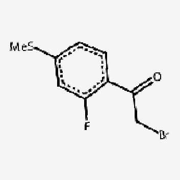 CSc1ccc(C(=O)CBr)c(F)c1